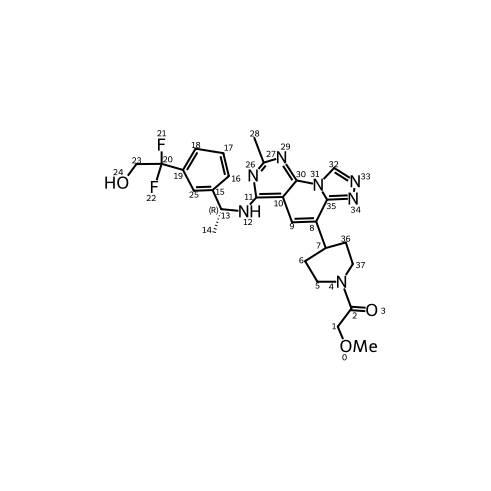 COCC(=O)N1CCC(c2cc3c(N[C@H](C)c4cccc(C(F)(F)CO)c4)nc(C)nc3n3cnnc23)CC1